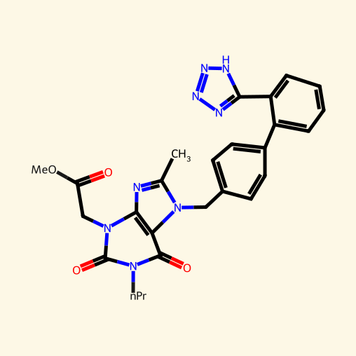 CCCn1c(=O)c2c(nc(C)n2Cc2ccc(-c3ccccc3-c3nnn[nH]3)cc2)n(CC(=O)OC)c1=O